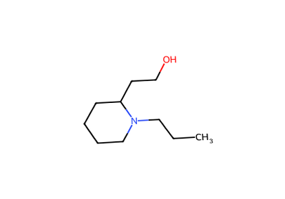 CCCN1CCCCC1CCO